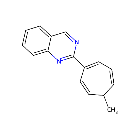 CC1C=CC=C(c2ncc3ccccc3n2)C=C1